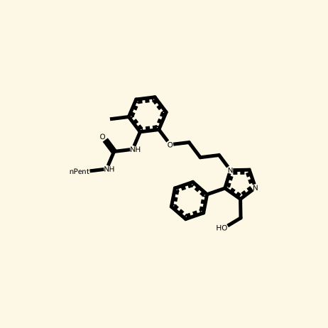 CCCCCNC(=O)Nc1c(C)cccc1OCCCn1cnc(CO)c1-c1ccccc1